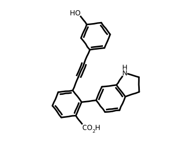 O=C(O)c1cccc(C#Cc2cccc(O)c2)c1-c1ccc2c(c1)NCC2